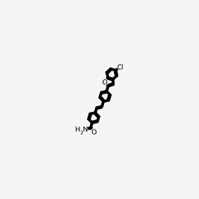 NC(=O)c1ccc(/C=C/c2ccc(-c3cc4cc(Cl)ccc4o3)cc2)cc1